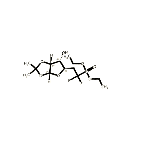 CCOP(=O)(OCC)C(F)(F)C[C@H]1O[C@@H]2OC(C)(C)O[C@@H]2[C@@H]1O